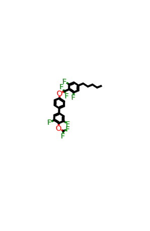 CCCCCc1cc(F)c(C(F)(F)Oc2ccc(-c3cc(F)c(OC(F)F)c(F)c3)cc2)c(F)c1